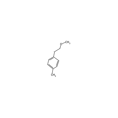 COC[CH]c1ccc(C)cc1